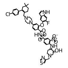 CC1(C)CCC(CN2CCN(c3ccc(C(=O)NS(=O)(=O)c4ccc(N[C@@H]5CCN(Cc6cscn6)C[C@@H]5O)c([N+](=O)[O-])c4)c(Oc4cc5cc[nH]c5cc4F)c3)CC2)=C(c2ccc(Cl)cc2)C1